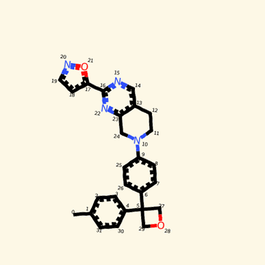 Cc1ccc(C2(c3ccc(N4CCc5cnc(-c6ccno6)nc5C4)cc3)COC2)cc1